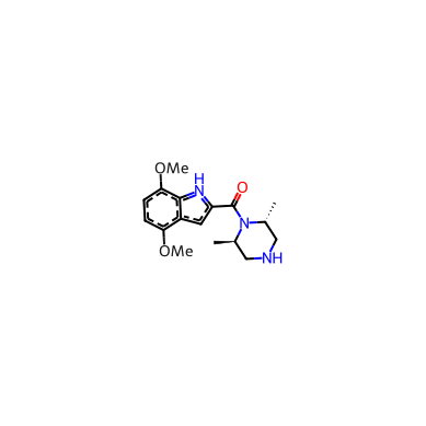 COc1ccc(OC)c2[nH]c(C(=O)N3[C@H](C)CNC[C@H]3C)cc12